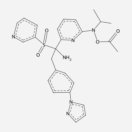 CC(=O)ON(c1cccc(C(N)(Cc2ccc(-n3cccn3)cc2)S(=O)(=O)c2cccnc2)n1)C(C)C